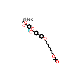 CCCCCC[C@@H](C)OC(=O)c1ccc(OC(=O)c2ccc(-c3ccc(OCCCCCCCCCCOCC4(C)COC4)cc3)cc2)c(F)c1